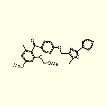 COCOc1cc(OC)cc(C)c1C(=O)c1ccc(OCc2nc(-c3ccccc3)oc2C)cc1